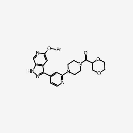 CC(C)Oc1cc2c(-c3ccnc(N4CCN(C(=O)C5COCCO5)CC4)c3)n[nH]c2cn1